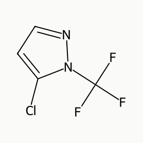 FC(F)(F)n1nccc1Cl